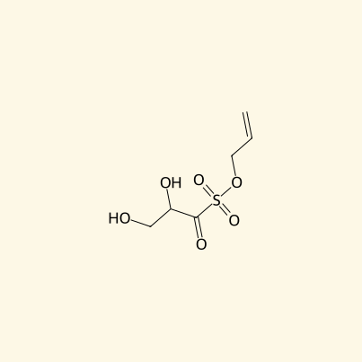 C=CCOS(=O)(=O)C(=O)C(O)CO